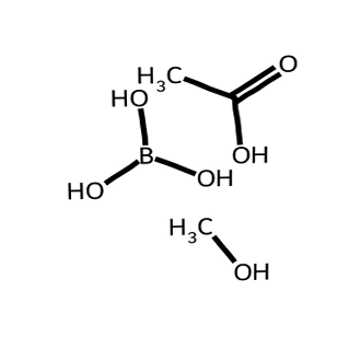 CC(=O)O.CO.OB(O)O